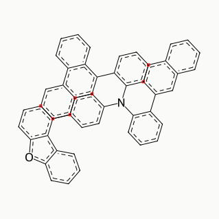 c1ccc(N(c2ccc(-c3cccc4oc5ccccc5c34)cc2)c2ccccc2-c2cc3ccccc3c3ccccc23)c(-c2ccc3ccccc3c2)c1